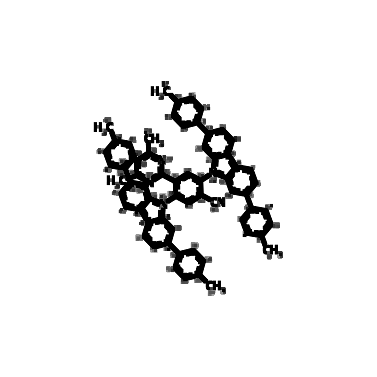 Cc1ccc(-c2ccc3c4ccc(-c5ccc(C)cc5)cc4n(-c4cc(-c5nc(C)cc(C)n5)c(-n5c6cc(-c7ccc(C)cc7)ccc6c6ccc(-c7ccc(C)cc7)cc65)cc4C#N)c3c2)cc1